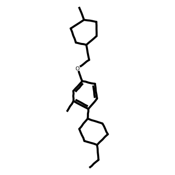 CCC1CCC(c2ccc(OCC3CCC(C)CC3)cc2C)CC1